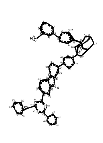 N#Cc1cccc(-c2ccc(C34CC5CC(C3)CC(c3ccc(-c6ccc7c(c6)sc6cc(-c8nc(-c9ccccc9)nc(-c9ccccc9)n8)ccc67)cc3)(C5)C4)cc2)c1